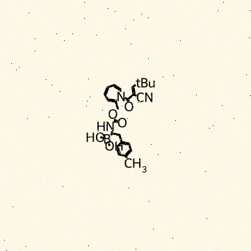 Cc1ccc(CC(NC(=O)OCC2=CC=CC=CN2C(=O)C(C#N)=CC(C)(C)C)B(O)O)cc1